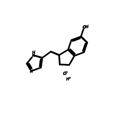 Oc1ccc2c(c1)C(Cc1cnc[nH]1)CC2.[Cl-].[H+]